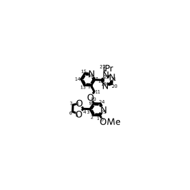 COc1cc(C2OCCO2)c(OCc2cccnc2-c2ncnn2C(C)C)cn1